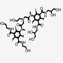 CN(C(=O)CN(CCO)CC(=O)N(C)c1c(I)c(C(=O)NCC(O)CO)c(I)c(C(=O)NCC(O)CO)c1I)c1c(I)c(C(=O)NCCO)c(I)c(C(=O)NCCO)c1I